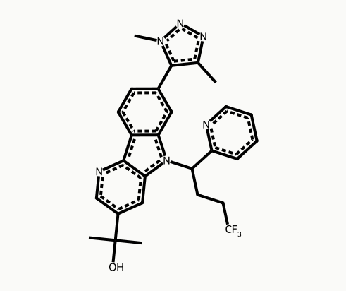 Cc1nnn(C)c1-c1ccc2c3ncc(C(C)(C)O)cc3n(C(CCC(F)(F)F)c3ccccn3)c2c1